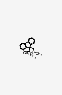 COCC1(C(=O)OC)c2ccccc2-c2cccc(C)c21